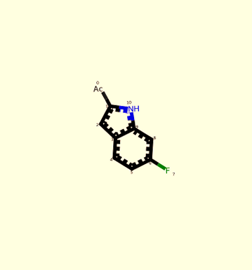 CC(=O)c1cc2ccc(F)cc2[nH]1